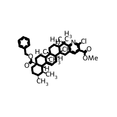 COC(=O)c1cc2c(nc1Cl)C(C)(C)[C@@H]1CC[C@]3(C)[C@H](CC=C4[C@@H]5[C@@H](C)[C@H](C)CC[C@]5(C(=O)OCc5ccccc5)CC[C@]43C)[C@@]1(C)C2